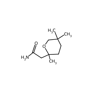 CC1(C)CCC(C)(CC(N)=O)OC1